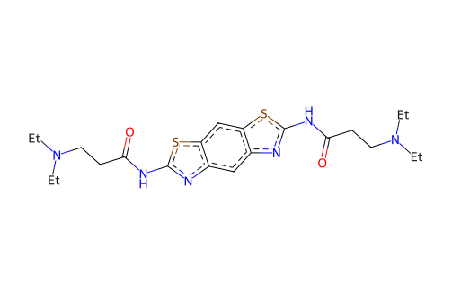 CCN(CC)CCC(=O)Nc1nc2cc3nc(NC(=O)CCN(CC)CC)sc3cc2s1